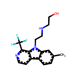 Cc1ccc2c3ccnc(C(F)(F)F)c3n(CCNCCO)c2c1